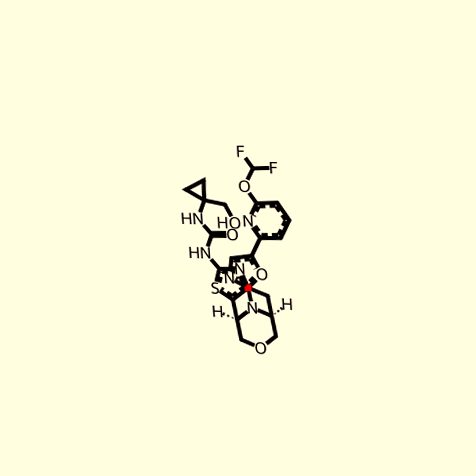 O=C(Nc1nc2c(s1)[C@@H]1COC[C@H](C2)N1c1ncc(-c2cccc(OC(F)F)n2)o1)NC1(CO)CC1